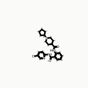 O=C(Nc1ccc(Cl)cn1)c1ccccc1NC(=O)C1CCN(C2CCCC2)CC1